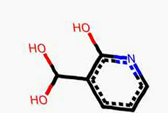 Oc1ncccc1C(O)O